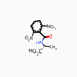 C[C@@H](NC(=O)c1c([N+](=O)[O-])cccc1[N+](=O)[O-])C(=O)O